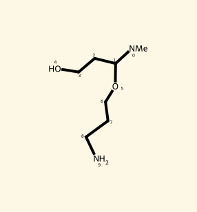 CNC(CCO)OCCCN